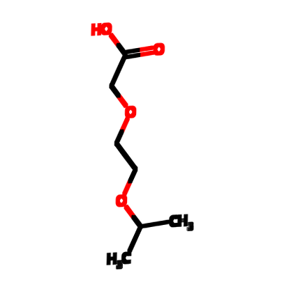 CC(C)OCCOCC(=O)O